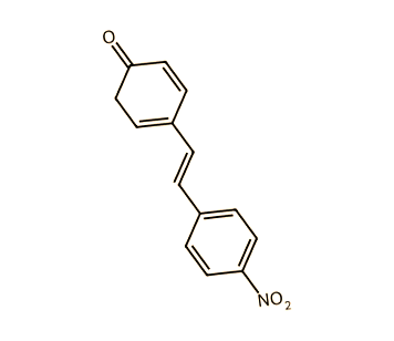 O=C1C=CC(C=Cc2ccc([N+](=O)[O-])cc2)=CC1